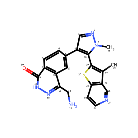 Cn1ncc(-c2ccc3c(=O)[nH]nc(CN)c3c2)c1-c1sc2ccncc2c1C#N